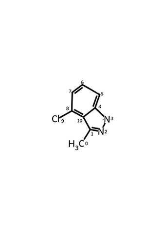 CC1=N[N]c2cccc(Cl)c21